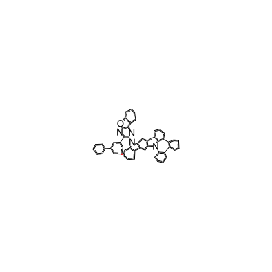 c1ccc(-c2cccc(-c3nc4oc5ccccc5c4nc3-n3c4ccccc4c4cc5c(cc43)c3cccc4c3n5-c3ccccc3-c3ccccc3-4)c2)cc1